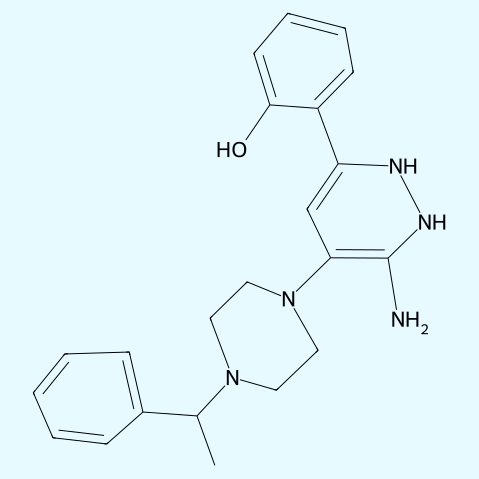 CC(c1ccccc1)N1CCN(C2=C(N)NNC(c3ccccc3O)=C2)CC1